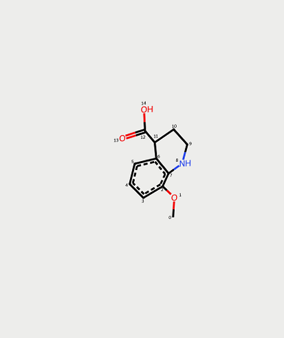 COc1cccc2c1NCCC2C(=O)O